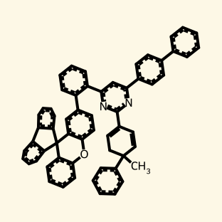 CC1(c2ccccc2)C=CC(c2nc(-c3ccc(-c4ccccc4)cc3)cc(-c3ccccc3-c3ccc4c(c3)C3(c5ccccc5O4)c4ccccc4-c4ccccc43)n2)=CC1